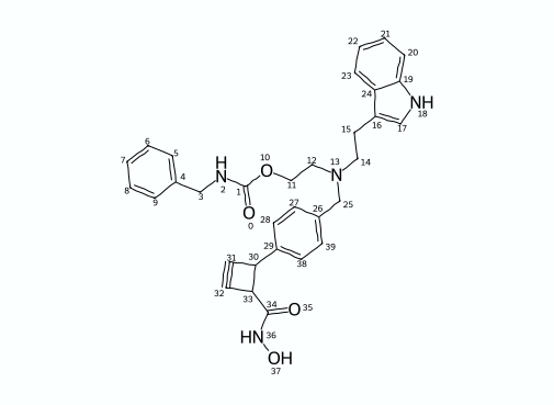 O=C(NCc1ccccc1)OCCN(CCc1c[nH]c2ccccc12)Cc1ccc(C2C#CC2C(=O)NO)cc1